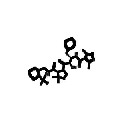 Cc1noc(C)c1C(=O)N[C@@H](Cc1ccccc1)[C@H](O)C(=O)N1CSC(C)(C)[C@H]1C(=O)NCc1ccccc1C(F)(F)F